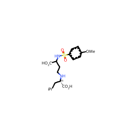 COc1ccc(S(=O)(=O)NC(CCN[C@@H](CC(C)C)C(=O)O)C(=O)O)cc1